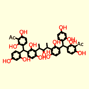 CC(=O)c1c(O)ccc(C(c2ccc(O)cc2O)c2ccc(O)c(C(C)C(=O)C(C)c3c(O)ccc(C(c4ccc(O)cc4O)c4ccc(O)c(C(C)=O)c4O)c3O)c2O)c1O